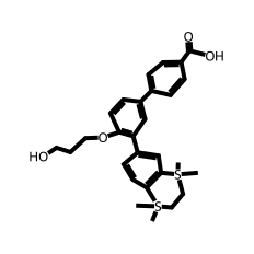 CS1(C)CCS(C)(C)c2cc(-c3cc(-c4ccc(C(=O)O)cc4)ccc3OCCCO)ccc21